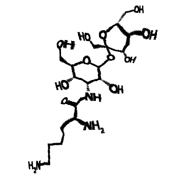 NCCCC[C@H](N)C(=O)N[C@@H]1[C@H](O)[C@@H](CO)OC(O[C@]2(CO)O[C@H](CO)[C@@H](O)[C@@H]2O)[C@@H]1O